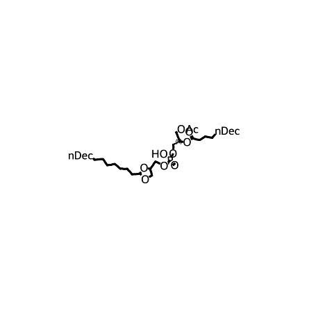 CCCCCCCCCCCCCCCCCC1OCC(COP(=O)(O)OC[C@@H](COC(C)=O)OC(=O)CCCCCCCCCCCCC)O1